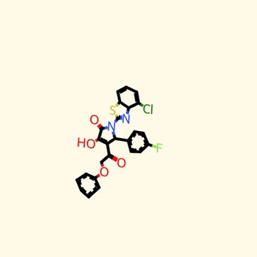 O=C(COc1ccccc1)C1=C(O)C(=O)N(C2=NC3C(Cl)=CC=CC3S2)C1c1ccc(F)cc1